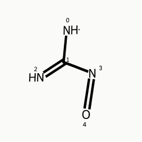 [NH]C(=N)N=O